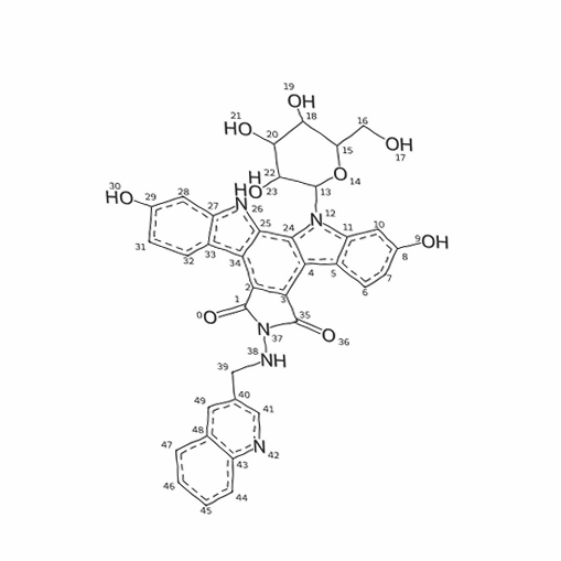 O=C1c2c(c3c4ccc(O)cc4n(C4OC(CO)C(O)C(O)C4O)c3c3[nH]c4cc(O)ccc4c23)C(=O)N1NCc1cnc2ccccc2c1